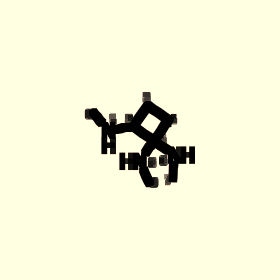 CNC1C[CH]C1(NC)NC